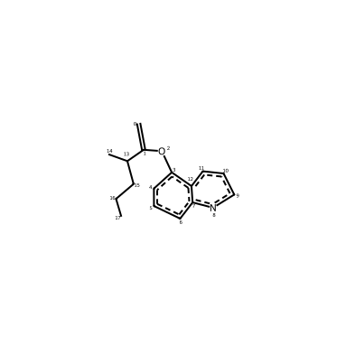 C=C(Oc1cccc2ncccc12)C(C)CCC